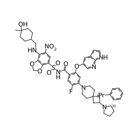 CC(C)c1ccccc1[C@@H]1CCCN1C1CC2(CCN(c3cc(Oc4cnc5[nH]ccc5c4)c(C(=O)NS(=O)(=O)c4cc([N+](=O)[O-])c(NCC5CCC(C)(O)CC5)c5c4OCO5)cc3F)CC2)C1